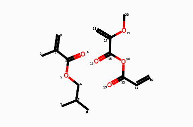 C=C(C)C(=O)OCC(C)C.C=CC(=O)OC(=O)C(=C)OC